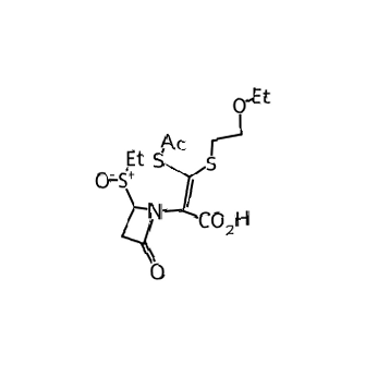 CCOCCSC(SC(C)=O)=C(C(=O)O)N1C(=O)CC1[S+]([O-])CC